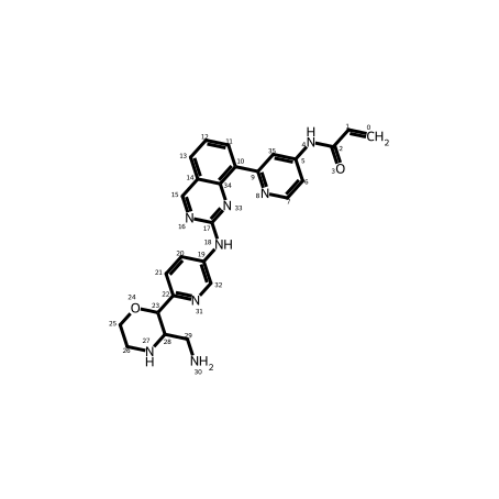 C=CC(=O)Nc1ccnc(-c2cccc3cnc(Nc4ccc(C5OCCNC5CN)nc4)nc23)c1